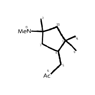 CNC1(C)CC(CC(C)=O)C(C)(C)C1